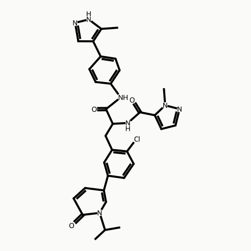 Cc1[nH]ncc1-c1ccc(NC(=O)C(Cc2cc(-c3ccc(=O)n(C(C)C)c3)ccc2Cl)NC(=O)c2ccnn2C)cc1